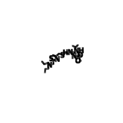 CCCN(CCC)Cc1nc(CSCCNC(=NC(=O)OC)NC(C)C)cs1